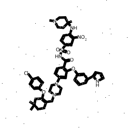 CN1CCC(C)(Nc2ccc(S(=O)(=O)NC(=O)c3ccc(N4CCN(CC5=C(Oc6ccc(Cl)cc6)CC(C)(C)CC5)CC4)cc3Oc3cccc(-c4ccc[nH]4)c3)cc2[N+](=O)[O-])CC1